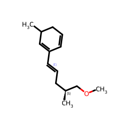 COC[C@@H](C)C/C=C/C1=CC(C)CC=C1